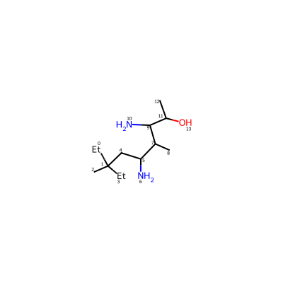 CCC(C)(CC)CC(N)C(C)C(N)C(C)O